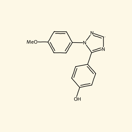 COc1ccc(-n2n[c]nc2-c2ccc(O)cc2)cc1